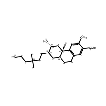 COc1cc2c(cc1OC)[C@H]1C[C@@H](O)[C@H](CCC(C)(C)CC[19F])CN1CC2